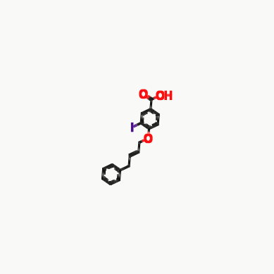 O=C(O)c1ccc(OCC=CCc2ccccc2)c(I)c1